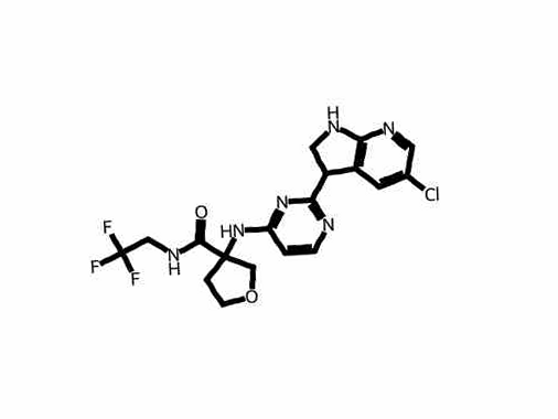 O=C(NCC(F)(F)F)C1(Nc2ccnc(C3CNc4ncc(Cl)cc43)n2)CCOC1